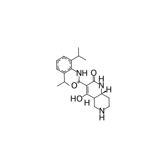 CC(C)c1cccc(C(C)C)c1NC(=O)C1=C(O)[C@@H]2CNCC[C@H]2NC1=O